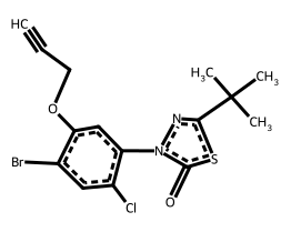 C#CCOc1cc(-n2nc(C(C)(C)C)sc2=O)c(Cl)cc1Br